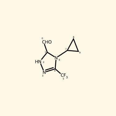 O=CC1NN=C(C(F)(F)F)N1C1CC1